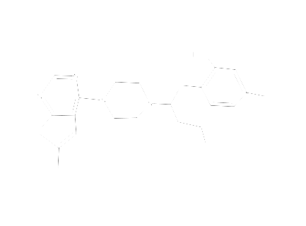 CCc1cc2c(N3CCN(C(CCC=O)Oc4ccc(Cl)cc4C)CC3)ncnc2s1